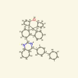 c1ccc(-c2ccc(-c3nc(-c4cccc5c4-c4ccccc4C54c5ccccc5Oc5ccccc54)nc4ccccc34)cc2)cc1